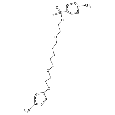 Cc1ccc(S(=O)(=O)OCCOCCOCCOCCOc2ccc([N+](=O)[O-])cc2)cc1